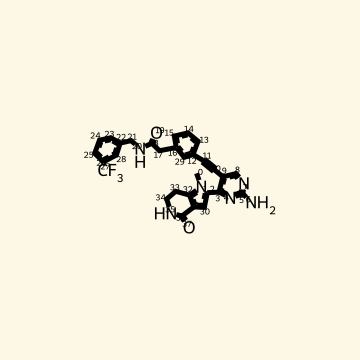 Cn1c(-c2nc(N)ncc2C#Cc2cccc(CC(=O)NCc3cccc(C(F)(F)F)c3)c2)cc2c1CCNC2=O